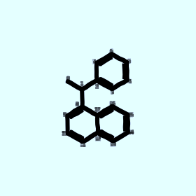 C[C](c1ccccc1)c1cccc2ccccc12